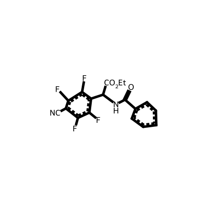 CCOC(=O)C(NC(=O)c1ccccc1)c1c(F)c(F)c(C#N)c(F)c1F